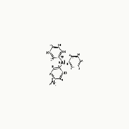 [Al].c1cc[c]([Al]([c]2ccccc2)[c]2ccccc2)cc1